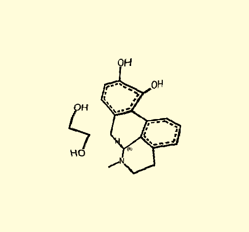 CN1CCc2cccc3c2[C@H]1Cc1ccc(O)c(O)c1-3.OCCO